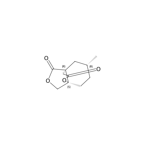 C[C@@H]1CC[C@@]23COC(=O)[C@@]2(CC(=O)O3)C1